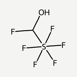 OC(F)S(F)(F)(F)(F)F